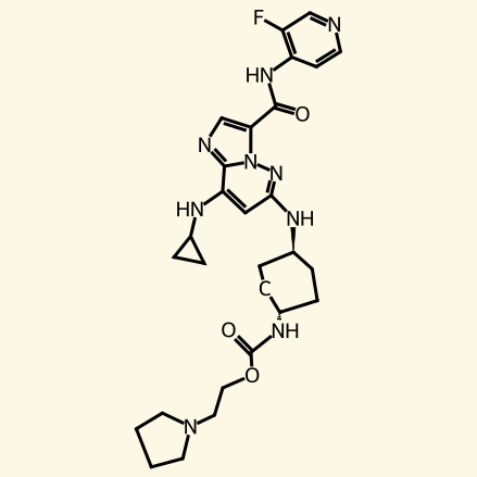 O=C(N[C@H]1CC[C@H](Nc2cc(NC3CC3)c3ncc(C(=O)Nc4ccncc4F)n3n2)CC1)OCCN1CCCC1